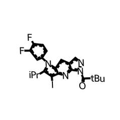 CC(C)c1c(I)c2nc3c(cnn3C(=O)C(C)(C)C)cc2n1-c1ccc(F)c(F)c1